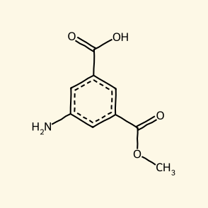 COC(=O)c1cc(N)cc(C(=O)O)c1